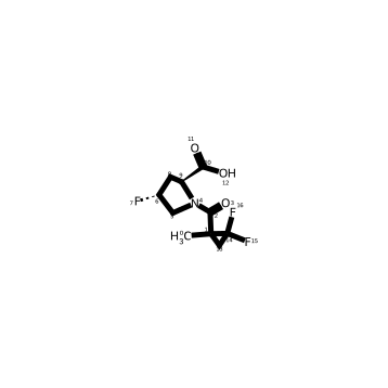 CC1(C(=O)N2C[C@H](F)C[C@H]2C(=O)O)CC1(F)F